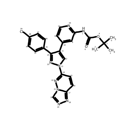 CC(C)(C)OC(=O)Nc1cc(-c2cn(-c3ccc4nncn4n3)nc2-c2ccc(Cl)cc2)ccn1